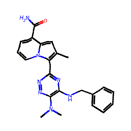 Cc1cc2c(C(N)=O)cccn2c1-c1nnc(N(C)C)c(NCc2ccccc2)n1